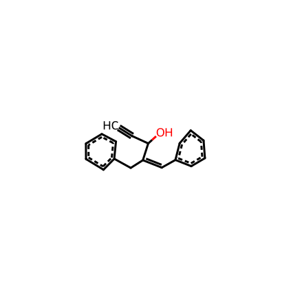 C#CC(O)C(=Cc1ccccc1)Cc1ccccc1